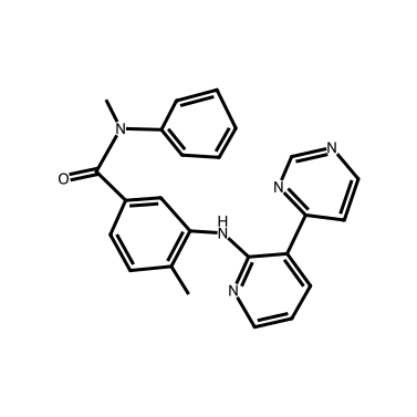 Cc1ccc(C(=O)N(C)c2ccccc2)cc1Nc1ncccc1-c1ccncn1